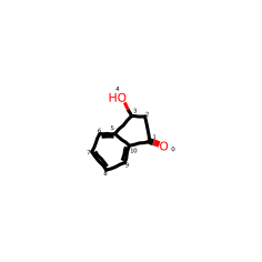 O=C1CC(O)c2ccccc21